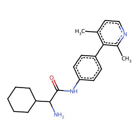 Cc1ccnc(C)c1-c1ccc(NC(=O)C(N)C2CCCCC2)cc1